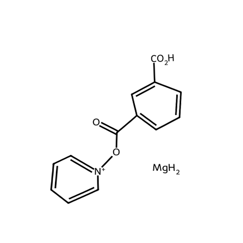 O=C(O)c1cccc(C(=O)O[n+]2ccccc2)c1.[MgH2]